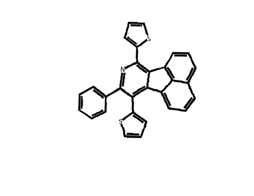 c1ccc(-c2nc(-c3cccs3)c3c(c2-c2cccs2)-c2cccc4cccc-3c24)cc1